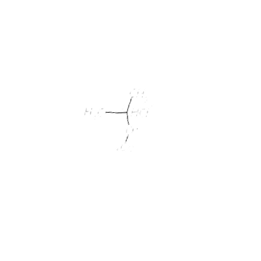 CC(C)[O][Co].Cl